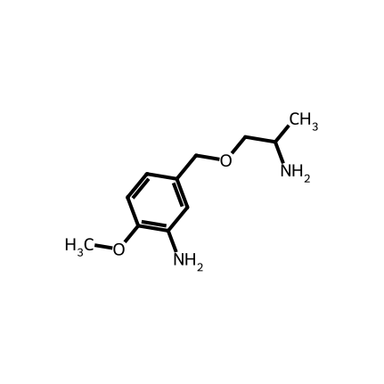 COc1ccc(COCC(C)N)cc1N